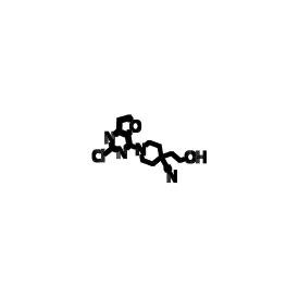 N#CC1(CCO)CCN(c2nc(Cl)nc3ccoc23)CC1